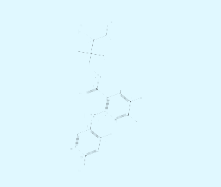 CC(C)(ONC(=O)c1cc(F)c(F)cc1Nc1ccc(I)cc1Cl)C(O)CO